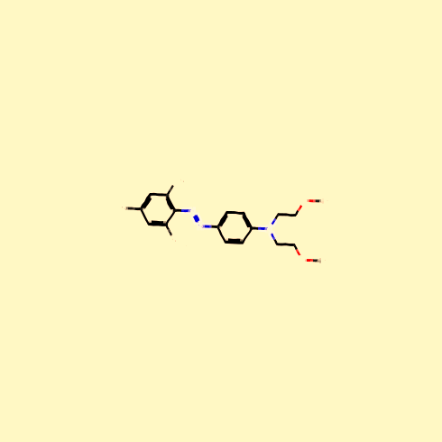 CC(C)OCCN(CCOC(C)C)c1ccc(N=Nc2c(C#N)cc([N+](=O)[O-])cc2[N+](=O)[O-])cc1